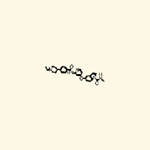 CCN1CCC(c2ccc(C(=O)Nc3cc(Oc4ccc5c(ccn5C(=O)NC)c4)ccn3)cc2)CC1